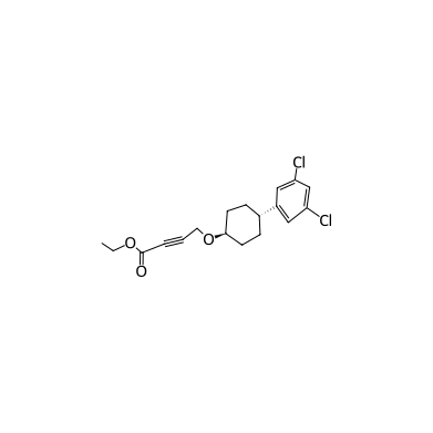 CCOC(=O)C#CCO[C@H]1CC[C@H](c2cc(Cl)cc(Cl)c2)CC1